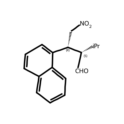 CC(C)[C@H](C=O)[C@@H](C[N+](=O)[O-])c1cccc2ccccc12